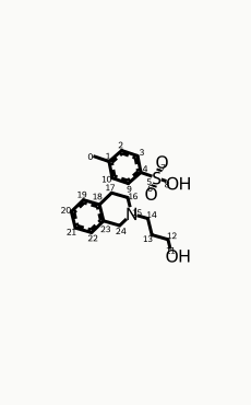 Cc1ccc(S(=O)(=O)O)cc1.OCCCN1CCc2ccccc2C1